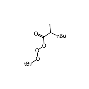 CCCCC(C)C(=O)OOOC(C)(C)C